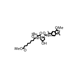 COC(=O)CCCCCCC(=O)N[C@H](C(=O)N1C[C@H](O)C[C@H]1C(=O)N[C@@H](C)c1ccc2c(c1)c(OC)nn2C)C(C)(C)C